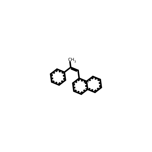 CC(=Cc1cccc2ccccc12)c1ccccc1